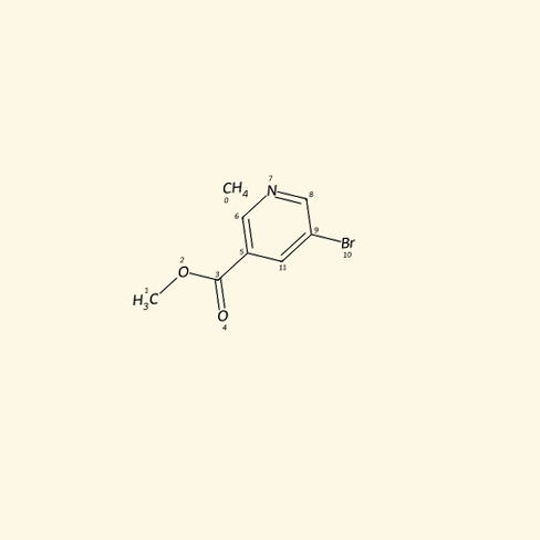 C.COC(=O)c1cncc(Br)c1